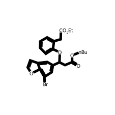 CCCCOC(=O)CC(Oc1ccccc1CC(=O)OCC)c1cc(Br)c2occc2c1